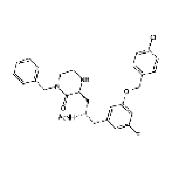 CC(=O)N[C@@H](Cc1cc(F)cc(OCc2ccc(Cl)cc2)c1)C[C@@H]1NCCN(Cc2ccccc2)C1=O